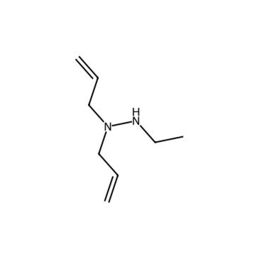 C=CCN(CC=C)NCC